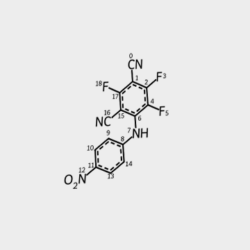 N#Cc1c(F)c(F)c(Nc2ccc([N+](=O)[O-])cc2)c(C#N)c1F